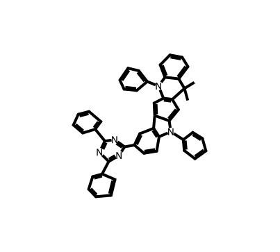 CC1(C)c2ccccc2N(c2ccccc2)c2cc3c4cc(-c5nc(-c6ccccc6)nc(-c6ccccc6)n5)ccc4n(-c4ccccc4)c3cc21